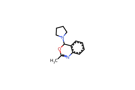 CC1=Nc2ccccc2C(N2CCCC2)O1